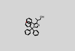 CC(CO)c1ncn(C(c2ccccc2)(c2ccccc2)c2ccccc2)c1-c1ccccc1